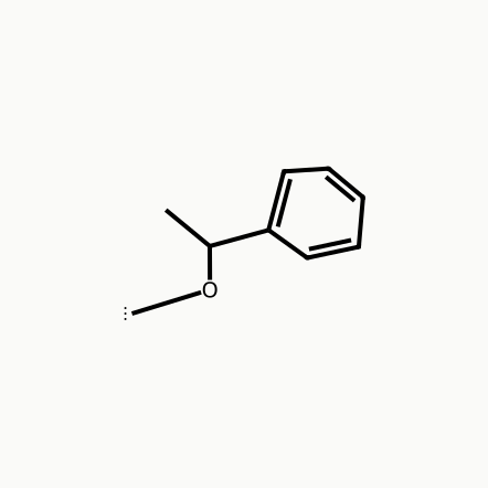 [C]OC(C)c1ccccc1